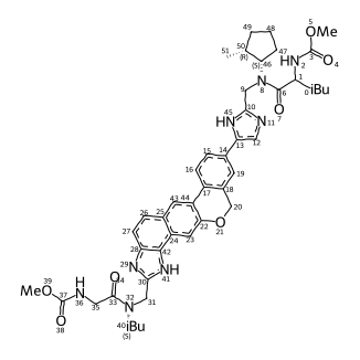 CCC(C)C(NC(=O)OC)C(=O)N(Cc1ncc(-c2ccc3c(c2)COc2cc4c(ccc5nc(CN(C(=O)CNC(=O)OC)[C@@H](C)CC)[nH]c54)cc2-3)[nH]1)[C@H]1CCC[C@H]1C